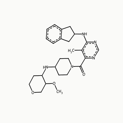 COC1COCCC1NC1CCN(C(=O)c2ncnc(NC3Cc4ccccc4C3)c2C)CC1